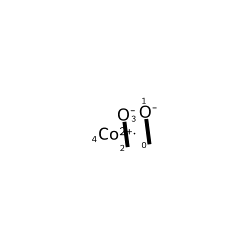 C[O-].C[O-].[Co+2]